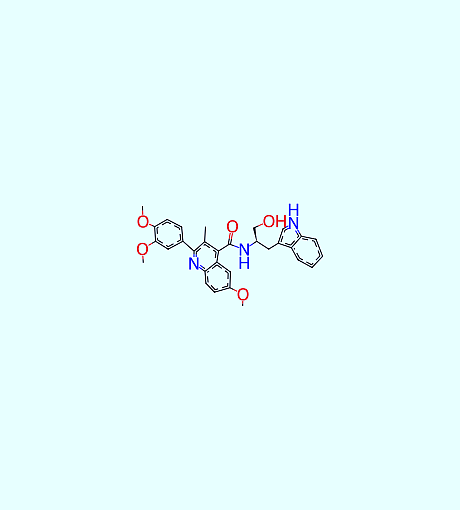 COc1ccc2nc(-c3ccc(OC)c(OC)c3)c(C)c(C(=O)N[C@@H](CO)Cc3c[nH]c4ccccc34)c2c1